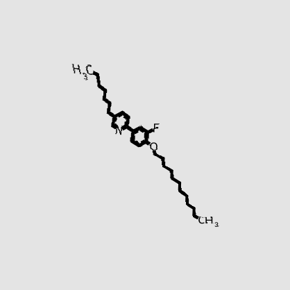 CCCCCCCCCCCCOc1ccc(-c2ccc(CCCCCCC)cn2)cc1F